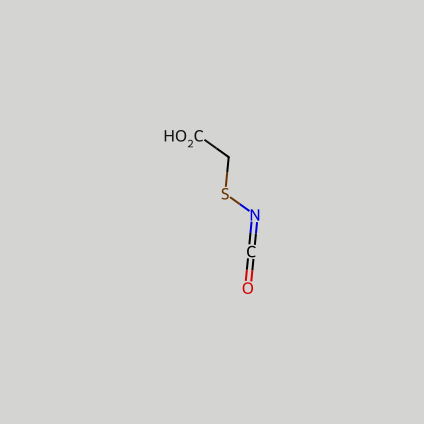 O=C=NSCC(=O)O